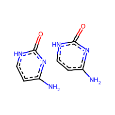 Nc1cc[nH]c(=O)n1.Nc1cc[nH]c(=O)n1